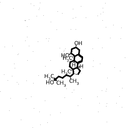 C[C@H](CCCC(C)(C)O)[C@H]1CC[C@H]2C3=CC=C4C[C@@H](O)C[C@H](O)[C@]4(C)[C@H]3CC[C@]12C